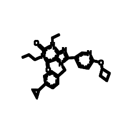 CCCn1c(=O)c2c(nc(-c3ccc(OC4CCC4)nc3)n2Cc2ccc(C3CC3)cc2)n(CC)c1=O